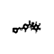 O=S(=O)(Nc1ccc(OCc2ccccc2)c(F)c1)c1c(F)c(F)c(F)c(F)c1F